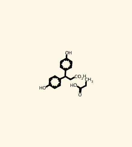 CCC(=O)O.O=C(O)CC(c1ccc(O)cc1)c1ccc(O)cc1